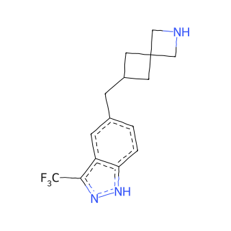 FC(F)(F)c1n[nH]c2ccc(CC3CC4(CNC4)C3)cc12